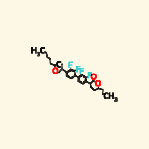 CCCCCC1CCC(c2ccc(-c3ccc(C4CCC(CCC)OC4=O)c(F)c3F)c(F)c2F)CO1